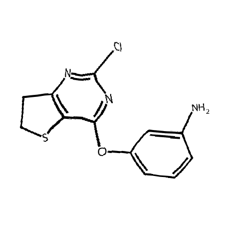 Nc1cccc(Oc2nc(Cl)nc3c2SCC3)c1